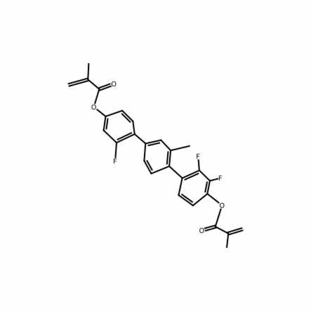 C=C(C)C(=O)Oc1ccc(-c2ccc(-c3ccc(OC(=O)C(=C)C)c(F)c3F)c(C)c2)c(F)c1